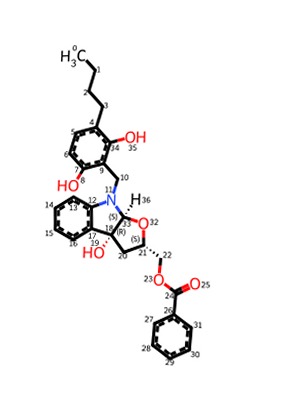 CCCCc1ccc(O)c(CN2c3ccccc3[C@]3(O)C[C@@H](COC(=O)c4ccccc4)O[C@H]23)c1O